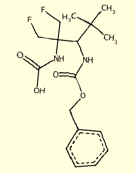 CC(C)(C)C(NC(=O)OCc1ccccc1)C(CF)(CF)NC(=O)O